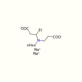 CCCCCCN(CCC(=O)[O-])C(CC)CC(=O)[O-].[Na+].[Na+]